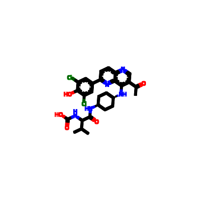 CC(=O)c1cnc2ccc(-c3cc(Cl)c(O)c(Cl)c3)nc2c1N[C@H]1CC[C@H](NC(=O)C(NC(=O)O)C(C)C)CC1